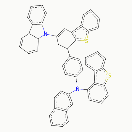 C1=CC2c3ccccc3N(C3=Cc4c(sc5ccccc45)C(c4ccc(N(c5ccc6ccccc6c5)c5cccc6sc7ccccc7c56)cc4)C3)C2C=C1